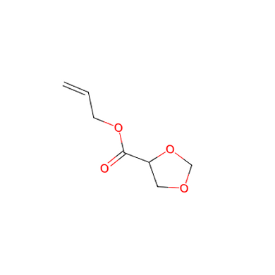 C=CCOC(=O)C1COCO1